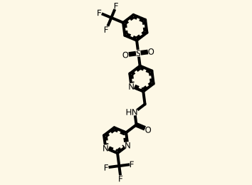 O=C(NCc1ccc(S(=O)(=O)c2cccc(C(F)(F)F)c2)cn1)c1ccnc(C(F)(F)F)n1